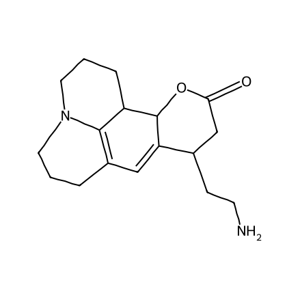 NCCC1CC(=O)OC2C1=CC1=C3C2CCCN3CCC1